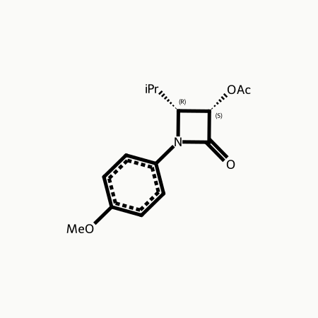 COc1ccc(N2C(=O)[C@@H](OC(C)=O)[C@H]2C(C)C)cc1